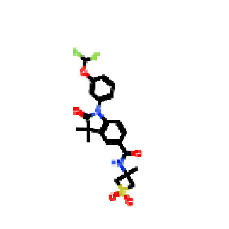 CC1(NC(=O)c2ccc3c(c2)C(C)(C)C(=O)N3c2cccc(OC(F)F)c2)CS(=O)(=O)C1